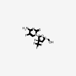 Nc1nc(=S)n([C@@H]2O[C@H](CO)C[C@]2(F)C(F)(F)F)cc1F